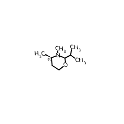 CC(C)C1OCC[C@@H](C)N1C